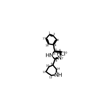 Cl.c1ccc(-c2cnc(C3CCCNC3)[nH]2)cc1